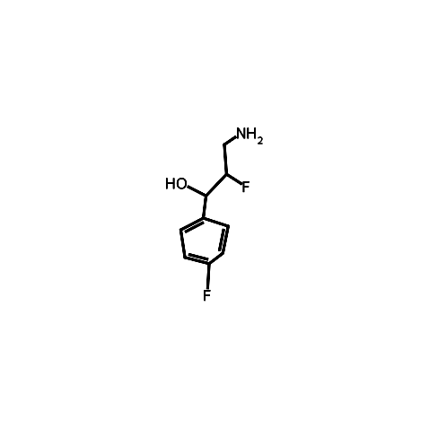 NCC(F)C(O)c1ccc(F)cc1